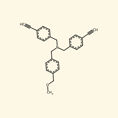 C#Cc1ccc(CN(Cc2ccc(C#C)cc2)Cc2ccc(COC)cc2)cc1